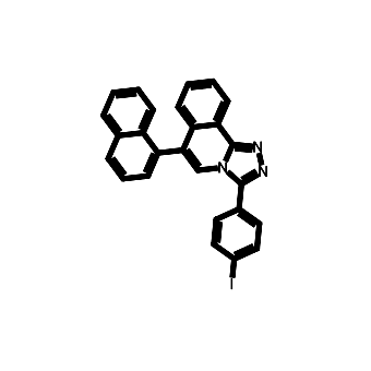 Ic1ccc(-c2nnc3c4ccccc4c(-c4cccc5ccccc45)cn23)cc1